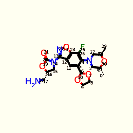 C[C@@H]1CN(c2c(C3OCCO3)cc3c(N4C[C@H](CN)OC4=O)noc3c2F)C[C@@H](C)O1